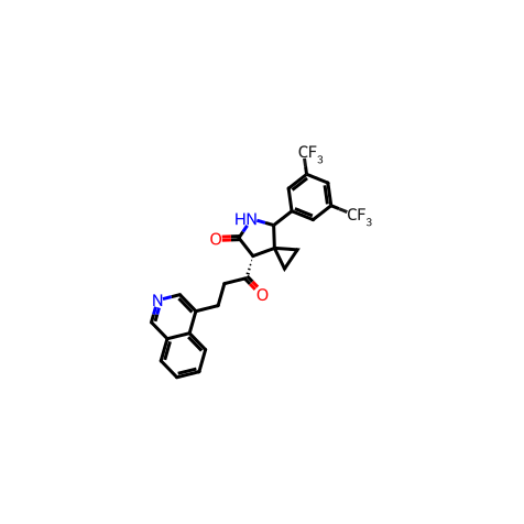 O=C(CCc1cncc2ccccc12)[C@@H]1C(=O)NC(c2cc(C(F)(F)F)cc(C(F)(F)F)c2)C12CC2